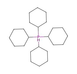 C1CCC([PH](C2CCCCC2)(C2CCCCC2)C2CCCCC2)CC1